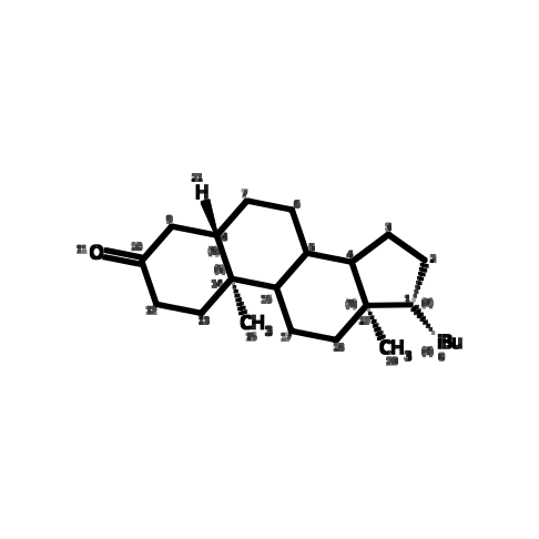 CC[C@@H](C)[C@H]1CCC2C3CC[C@H]4CC(=O)CC[C@]4(C)C3CC[C@@]21C